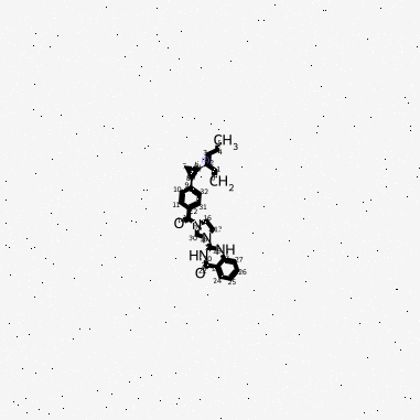 C=C/C(=C\CC)[C@H]1C[C@@H]1c1ccc(C(=O)N2CCN(C3NC(=O)c4ccccc4N3)C2)cc1